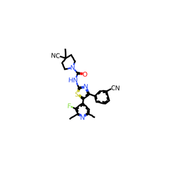 Cc1cc(-c2sc(NC(=O)N3CCC(C)(C#N)CC3)nc2-c2cccc(C#N)c2)c(F)c(C)n1